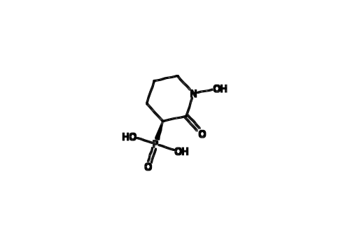 O=C1[C@@H](P(=O)(O)O)CCCN1O